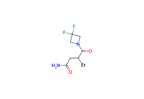 CC[C](CC(N)=O)C(=O)N1CC(F)(F)C1